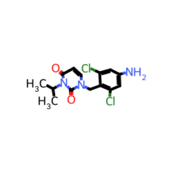 CC(C)n1c(=O)ccn(Cc2c(Cl)cc(N)cc2Cl)c1=O